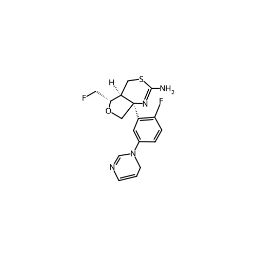 NC1=N[C@@]2(c3cc(N4C=NC=CC4)ccc3F)CO[C@H](CF)[C@H]2CS1